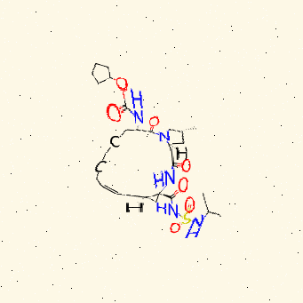 CC(C)NS(=O)(=O)NC(=O)[C@@]12C[C@H]1/C=C\CCCCC[C@H](NC(=O)OC1CCCC1)C(=O)N1C[C@H](C)C[C@H]1C(=O)N2